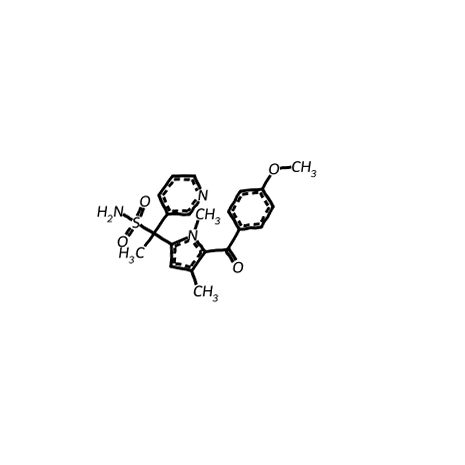 COc1ccc(C(=O)c2c(C)cc(C(C)(c3cccnc3)S(N)(=O)=O)n2C)cc1